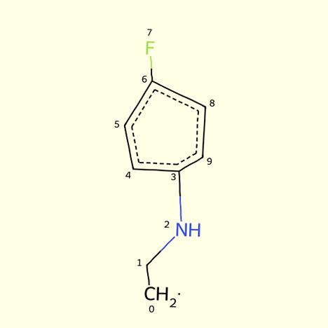 [CH2]CNc1ccc(F)cc1